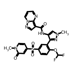 Cn1cc(NC(=O)c2cnn3cccnc23)c(-c2cc(S(=O)(=O)c3ccn(C)c(=O)c3)ccc2OC(F)F)n1